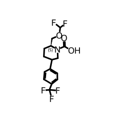 O=C(O)N1CC(c2ccc(C(F)(F)F)cc2)CC[C@H]1COC(F)F